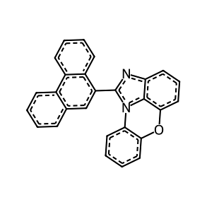 c1ccc2c(c1)Oc1cccc3nc(-c4cc5ccccc5c5ccccc45)n-2c13